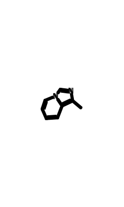 Cc1ncn2ccccc12